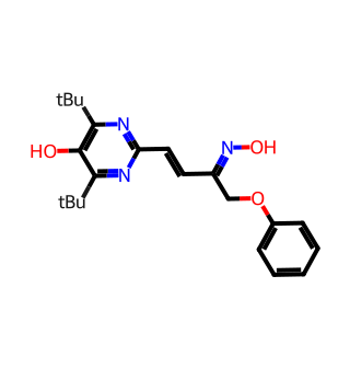 CC(C)(C)c1nc(C=CC(COc2ccccc2)=NO)nc(C(C)(C)C)c1O